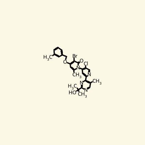 Cc1cccc(COc2cc(C)n(-c3cc(-c4nc(C(C)(C)O)ncc4C)ncc3Cl)c(=O)c2Br)c1